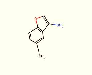 Cc1ccc2occ(N)c2c1